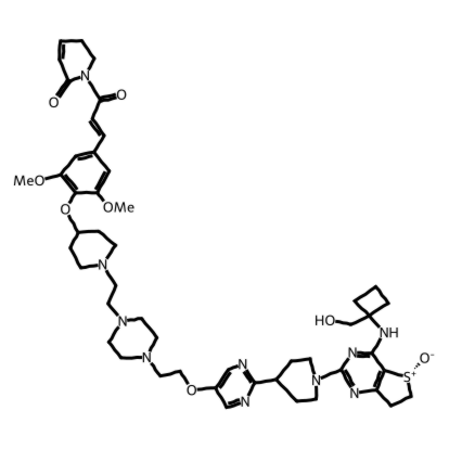 COc1cc(/C=C/C(=O)N2CCC=CC2=O)cc(OC)c1OC1CCN(CCN2CCN(CCOc3cnc(C4CCN(c5nc6c(c(NC7(CO)CCC7)n5)[S@+]([O-])CC6)CC4)nc3)CC2)CC1